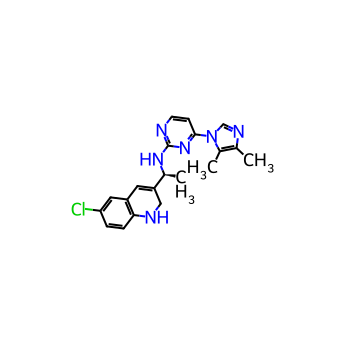 Cc1ncn(-c2ccnc(N[C@@H](C)C3=Cc4cc(Cl)ccc4NC3)n2)c1C